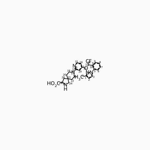 Cc1ccn(-c2ccccc2C(Oc2ccnc(N3CCC4(CC3)CNC(C(=O)O)C4)c2)C(F)(F)F)n1